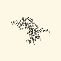 CC(C)C[C@H](NC(=O)[C@H](CO)NC(=O)[C@H](C)NC(=O)CNC(=O)[C@H](CCC(N)=O)NC(=O)[C@@H](NC(=O)[C@H](CC(N)=O)NC(=O)[C@@H](N)C(C)C)[C@@H](C)O)C(=O)O